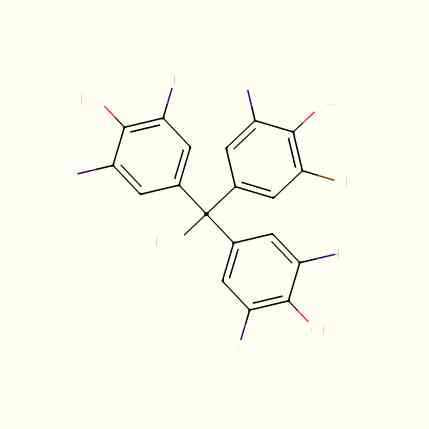 CC(c1cc(S)c(O)c(I)c1)(c1cc(I)c(O)c(I)c1)c1cc(I)c(O)c(I)c1